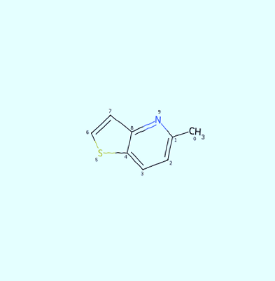 Cc1ccc2sccc2n1